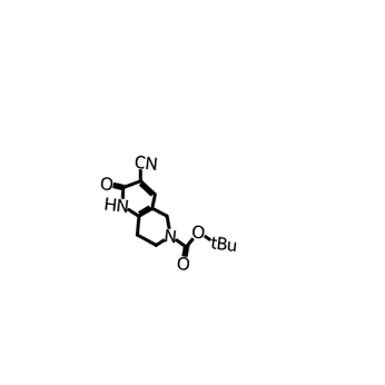 CC(C)(C)OC(=O)N1CCc2[nH]c(=O)c(C#N)cc2C1